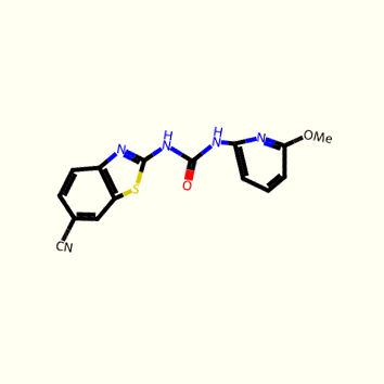 COc1cccc(NC(=O)Nc2nc3ccc(C#N)cc3s2)n1